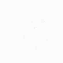 O=C(/C=C\c1ccccc1)c1ccccc1.O=S(=O)(O)c1ccc2[nH]c(-c3ccccc3)nc2c1